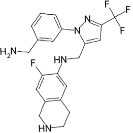 NCc1cccc(-n2nc(C(F)(F)F)cc2CNc2cc3c(cc2F)CNCC3)c1